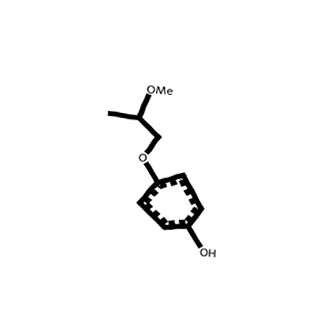 COC(C)COc1ccc(O)cc1